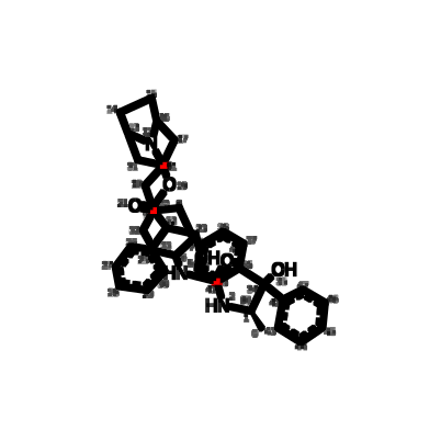 C[C@@H](NC(=O)NC1CCC(CCN2C3CCC2CC(OC(=O)C(CO)c2ccccc2)C3)CC1)C(O)(c1ccccc1)c1ccccc1